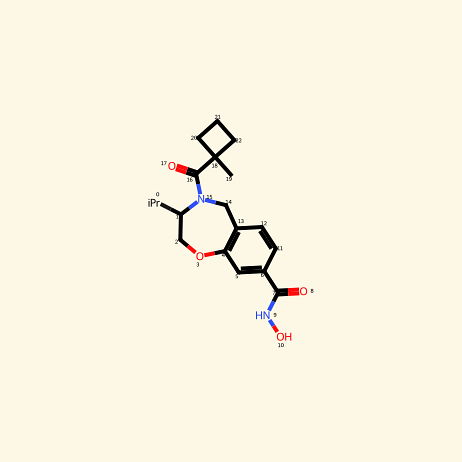 CC(C)C1COc2cc(C(=O)NO)ccc2CN1C(=O)C1(C)CCC1